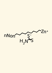 CCCCCCCCCCCCCCCCC[CH2][Zn+].NC(=S)[S-]